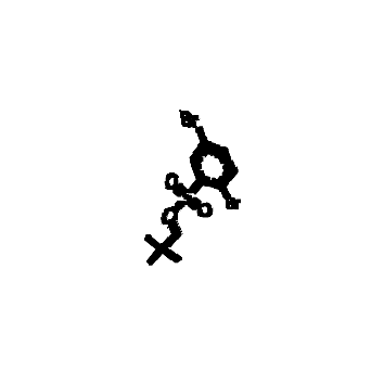 CC(C)(C)COS(=O)(=O)c1cc(Br)ccc1Br